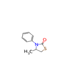 CC1CSC(=O)N1c1ccccc1